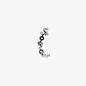 C[C@H](CO)NC(=O)c1ccc(-c2nc(COC3CCN(C(=O)O)CC3)no2)cc1